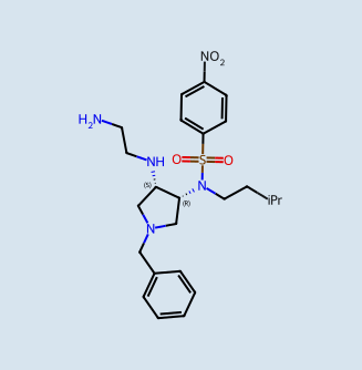 CC(C)CCN([C@@H]1CN(Cc2ccccc2)C[C@@H]1NCCN)S(=O)(=O)c1ccc([N+](=O)[O-])cc1